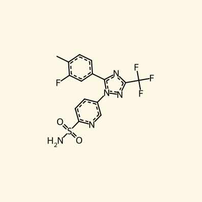 Cc1ccc(-c2nc(C(F)(F)F)nn2-c2ccc(S(N)(=O)=O)nc2)cc1F